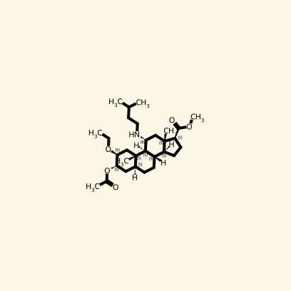 CCO[C@H]1C[C@@]2(C)[C@@H](CC[C@@H]3[C@@H]2[C@H](NCCC(C)C)C[C@]2(C)[C@@H](C(=O)OC)CC[C@@H]32)C[C@@H]1OC(C)=O